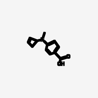 CN(c1ccc(C(=O)O)cc1)C1C=CC1